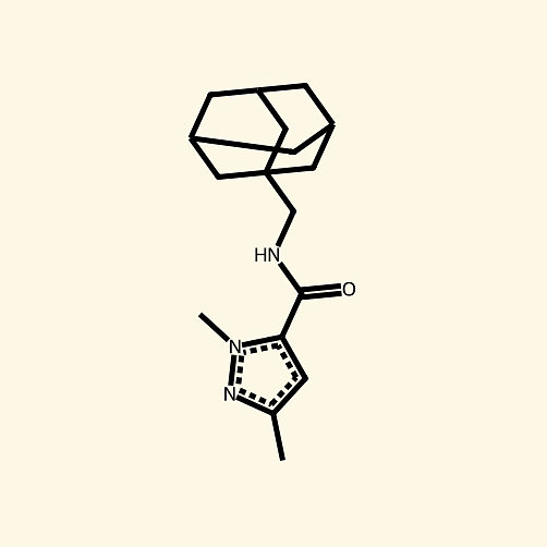 Cc1cc(C(=O)NCC23CC4CC(CC(C4)C2)C3)n(C)n1